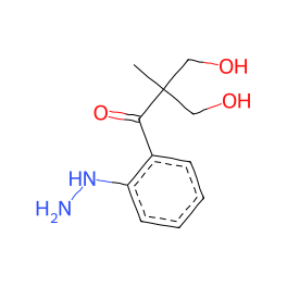 CC(CO)(CO)C(=O)c1ccccc1NN